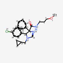 CCOCCCNC(=O)C1(c2ccccc2)N=CN(CC2CC2)C1c1ccc(Cl)cc1